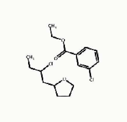 CCC(Cl)CC1CCCO1.CCOC(=O)c1cccc(Cl)c1